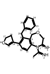 CC(=N)N1C(=N)COCc2c1ccc(C1=COCC1)c2Cc1ccccc1